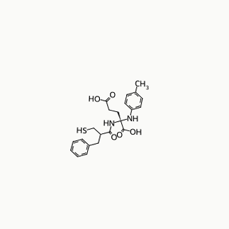 Cc1ccc(N[C@@](CCC(=O)O)(NC(=O)C(CS)Cc2ccccc2)C(=O)O)cc1